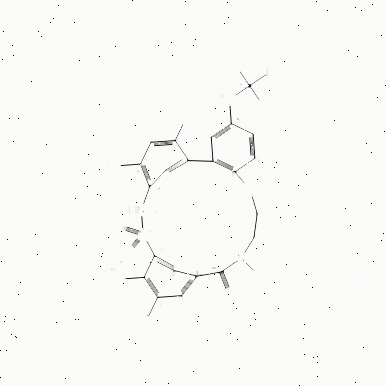 CN1CCOc2ccc(OC(F)(F)F)cc2-c2cc(c(F)cc2F)NS(=O)(=O)c2cc(cc(Cl)c2O)C1=O